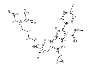 CNC(=O)c1c(-c2ccc(C)cc2)oc2nc(CS(=O)(=O)NCCCC[C@H](COC)C(=O)O)c(C3CC3)cc12